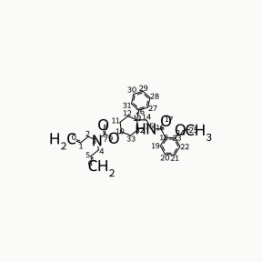 C=CCN(CC=C)C(=O)OC1CCC(CNC(=O)c2ccccc2OC)(c2ccccc2)CC1